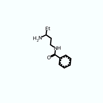 CCC(N)CCNC(=O)c1ccccc1